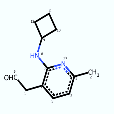 Cc1ccc(CC=O)c(NC2CCC2)n1